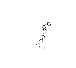 COc1nc(OC)nc(N2CCC(c3nc(C(=O)Nc4nc5cc(C(=O)c6ccccc6)ccc5[nH]4)cs3)CC2)n1